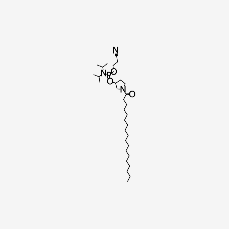 CCCCCCCCCCCCCCCCCC(=O)N1CC[C@H](OP(OCCC#N)N(C(C)C)C(C)C)C1